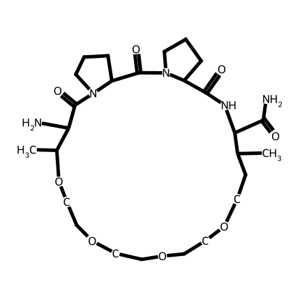 CC1CCOCCOCCOCCOC(C)C(N)C(=O)N2CCCC2C(=O)N2CCCC2C(=O)NC1C(N)=O